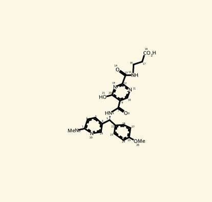 CNc1ccc([C@H](NC(=O)c2cnc(C(=O)NCCC(=O)O)nc2O)c2ccc(OC)cc2)cn1